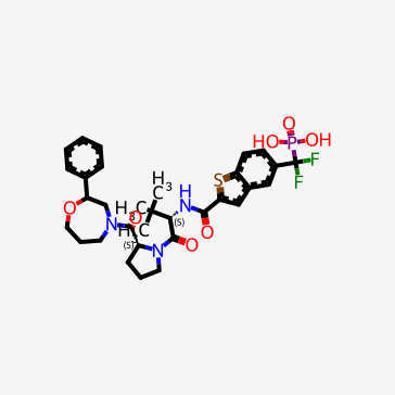 CC(C)(C)[C@H](NC(=O)c1cc2cc(C(F)(F)P(=O)(O)O)ccc2s1)C(=O)N1CCC[C@H]1C(=O)N1CCCOC(c2ccccc2)C1